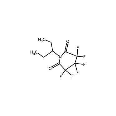 CCC(CC)N1C(=O)C(F)(F)C(F)(F)C(F)(F)C1=O